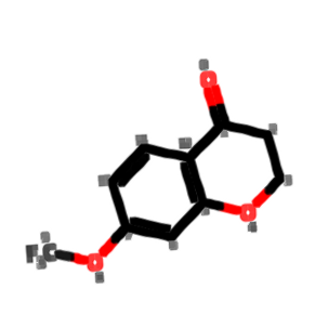 O=C1CCOc2cc(OC(F)(F)F)ccc21